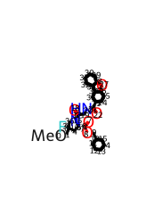 COC[C@@]1(F)C[C@@H](C(=O)OCc2ccccc2)N(C(=O)CNC(=O)c2ccc3oc4ccccc4c3c2)C1